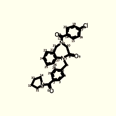 O=C(c1ccc(CN2C(=O)CN(C(=O)c3ccc(Cl)cc3)Cc3ccccc32)cc1)N1CCCC1